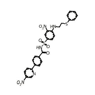 O=C(NS(=O)(=O)c1ccc(NCCSc2ccccc2)c([N+](=O)[O-])c1)c1ccc(-c2ccc([N+](=O)[O-])cn2)cc1